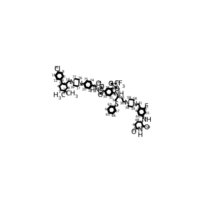 CC1(C)CCC(c2ccc(Cl)cc2)=C(CN2CCN(c3ccc(C(=O)NS(=O)(=O)c4ccc(N[C@H](CCN5CCN(Cc6ccc(NC7CCC(=O)NC7=O)cc6F)CC5)CSc5ccccc5)c(S(=O)(=O)C(F)(F)F)c4)cc3)CC2)C1